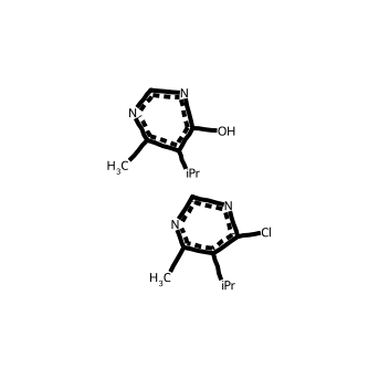 Cc1ncnc(Cl)c1C(C)C.Cc1ncnc(O)c1C(C)C